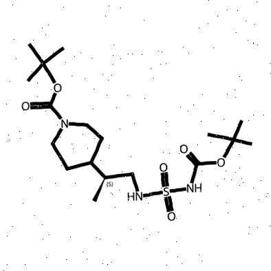 C[C@H](CNS(=O)(=O)NC(=O)OC(C)(C)C)C1CCN(C(=O)OC(C)(C)C)CC1